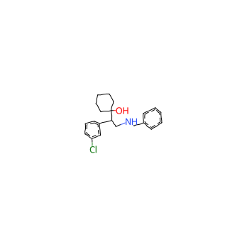 OC1(C(CNCc2ccccc2)c2cccc(Cl)c2)CCCCC1